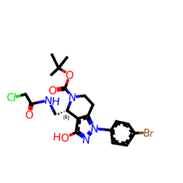 CC(C)(C)OC(=O)N1CCc2c(c(O)nn2-c2ccc(Br)cc2)[C@@H]1CNC(=O)CCl